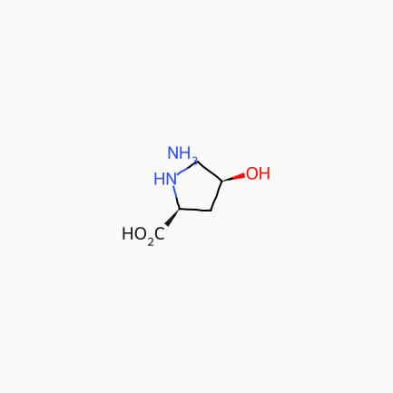 N.O=C(O)[C@@H]1C[C@H](O)CN1